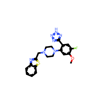 COc1cc(N2CCN(Cc3nc4ccccc4s3)CC2)c(-c2nn[nH]n2)cc1F